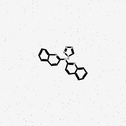 c1ccc2nc(Oc3ccc4ccccc4n3)ccc2c1.c1nnn[nH]1